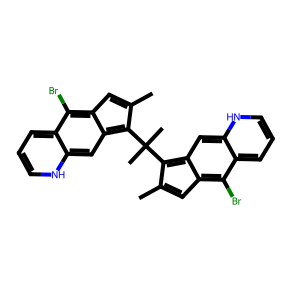 Cc1cc2c(Br)c3ccc[nH]c3cc2c1C(C)(C)c1c(C)cc2c(Br)c3ccc[nH]c3cc12